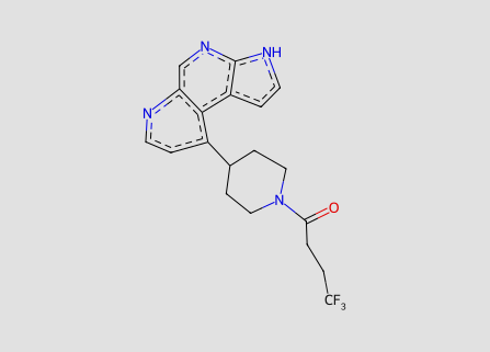 O=C(CCC(F)(F)F)N1CCC(c2ccnc3cnc4[nH]ccc4c23)CC1